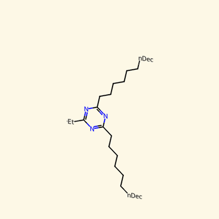 C[CH]c1nc(CCCCCCCCCCCCCCCC)nc(CCCCCCCCCCCCCCCC)n1